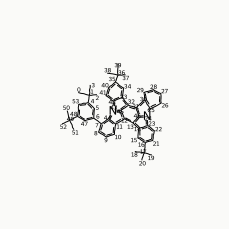 CC(C)(C)c1cc(-c2cccc3c4c5c6cc(C(C)(C)C)ccc6n6c7ccccc7c(c7c8cc(C(C)(C)C)ccc8n(c23)c74)c56)cc(C(C)(C)C)c1